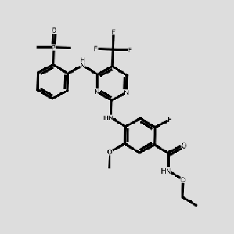 CCONC(=O)c1cc(OC)c(Nc2ncc(C(F)(F)F)c(Nc3ccccc3P(C)(C)=O)n2)cc1F